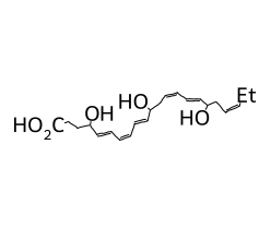 CC/C=C\CC(O)/C=C/C=C\CC(O)/C=C/C=C\C=C\C(O)CCC(=O)O